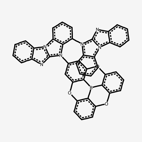 c1cc2c3c(c1)Oc1cc(-n4c5c(-n6c7ccccc7n7c8ccccc8nc67)cccc5n5c6ccccc6nc45)cc4c1B3c1c(cccc1O4)O2